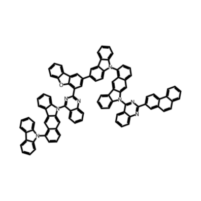 c1cc(-n2c3ccccc3c3cc(-c4cc(-c5nc(-n6c7ccccc7c7cc8c(-n9c%10ccccc%10c%10ccccc%109)cccc8cc76)c6ccccc6n5)c5oc6ccccc6c5c4)ccc32)c2cc3c4ccccc4n(-c4nc(-c5ccc6c(ccc7ccccc76)c5)nc5ccccc45)c3cc2c1